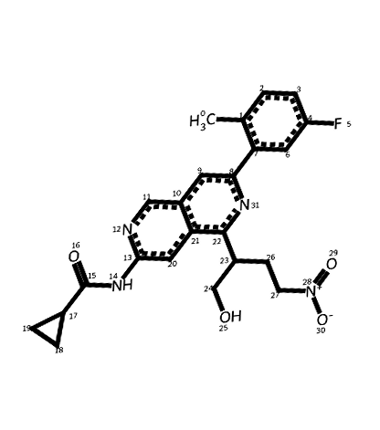 Cc1ccc(F)cc1-c1cc2cnc(NC(=O)C3CC3)cc2c(C(CO)CC[N+](=O)[O-])n1